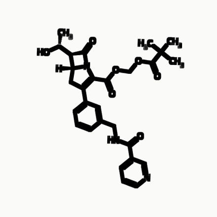 C[C@@H](O)[C@H]1C(=O)N2C(C(=O)OCOC(=O)C(C)(C)C)=C(c3cccc(CNC(=O)c4cccnc4)c3)C[C@H]12